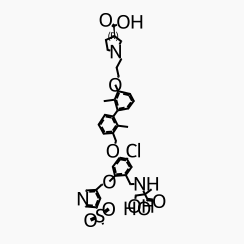 Cc1c(COc2cc(OCc3cncc(S(C)(=O)=O)c3)c(CNC(C)(CO)C(=O)O)cc2Cl)cccc1-c1cccc(OCCCN2CC[C@@H](C(=O)O)C2)c1C